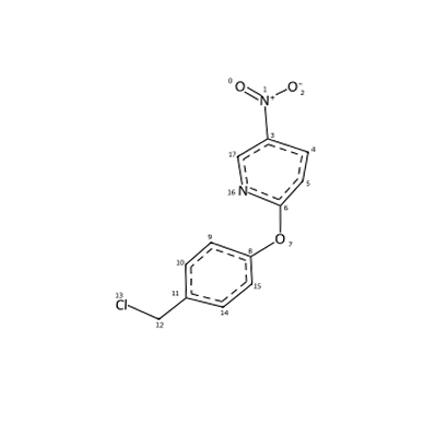 O=[N+]([O-])c1ccc(Oc2ccc(CCl)cc2)nc1